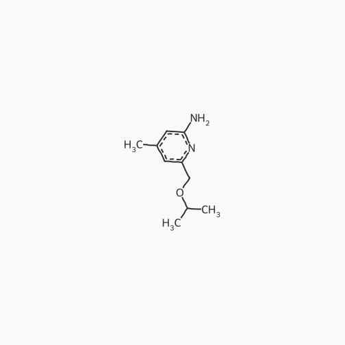 Cc1cc(N)nc(COC(C)C)c1